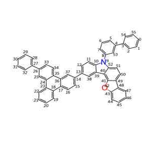 c1ccc(-c2cccc(-n3c4ccc(-c5ccc6c7ccccc7c7cc(-c8ccccc8)ccc7c6c5)cc4c4c5oc6ccccc6c5ccc43)c2)cc1